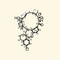 C[C@@H]1[C@@H](C)C/C=C/[C@](C)(O)[C@@H]2CC[C@H]2CN2C[C@@]3(CCCc4cc(Cl)ccc43)COc3ccc(cc32)C(=O)NS1(=O)=O